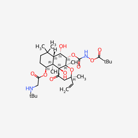 C=C[C@@]1(C)CC(=O)[C@]2(O)[C@@]3(C)[C@@H](OC(=O)CNC(C)(C)C)CCC(C)(C)[C@@H]3[C@H](O)[C@H](OC(=O)NOC(=O)C(C)(C)C)[C@@]2(C)O1